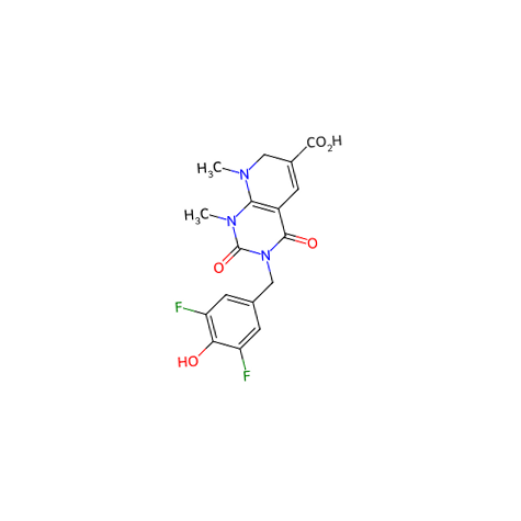 CN1CC(C(=O)O)=Cc2c1n(C)c(=O)n(Cc1cc(F)c(O)c(F)c1)c2=O